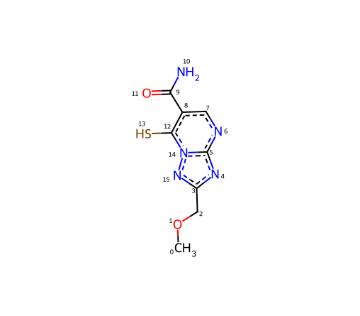 COCc1nc2ncc(C(N)=O)c(S)n2n1